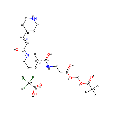 CC(C)(C)C(=O)OCOC(=O)CCNC(=O)[C@@H]1CCCN(C(=O)/C=C/C2CCNCC2)C1.O=C(O)C(F)(F)F